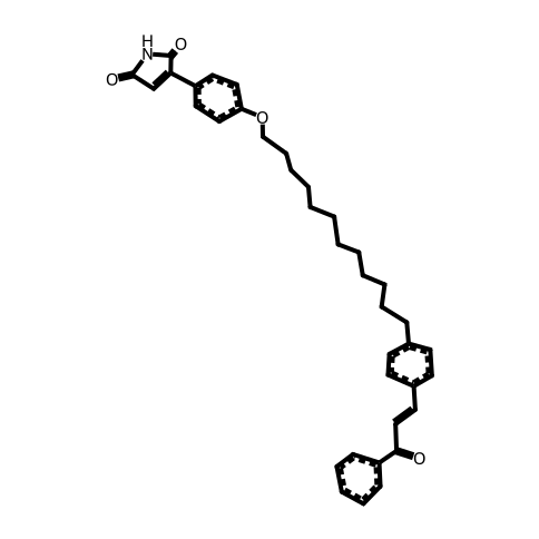 O=C1C=C(c2ccc(OCCCCCCCCCCCCc3ccc(C=CC(=O)c4ccccc4)cc3)cc2)C(=O)N1